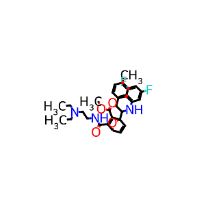 CCN(CC)CCNC(=O)C1=C(C(=O)OC)C2(C(Cc3ccc(C)cc3)Nc3cc(F)cc(F)c3)C=CC1O2